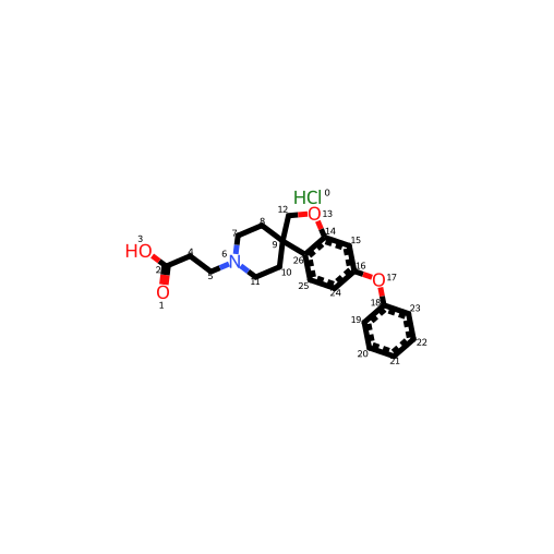 Cl.O=C(O)CCN1CCC2(CC1)COc1cc(Oc3ccccc3)ccc12